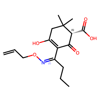 C=CCO/N=C(/CCC)C1=C(O)CC(C)(C)[C@H](C(=O)O)C1=O